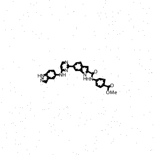 COC(=O)c1ccc(NC(=O)c2cc3ccc(-c4nccc(Nc5ccc6[nH]ncc6c5)n4)cc3[nH]2)cc1